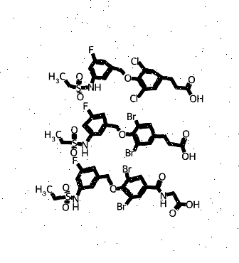 CCS(=O)(=O)Nc1cc(F)cc(COc2c(Br)cc(C(=O)NCC(=O)O)cc2Br)c1.CCS(=O)(=O)Nc1cc(F)cc(COc2c(Br)cc(CCC(=O)O)cc2Br)c1.CCS(=O)(=O)Nc1cc(F)cc(COc2c(Cl)cc(CCC(=O)O)cc2Cl)c1